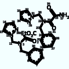 CCOC(=O)C(=O)N(Cc1ccccc1)Cn1cccn1.NC(=O)C(=O)N(Cc1ccccc1)Cn1cccn1